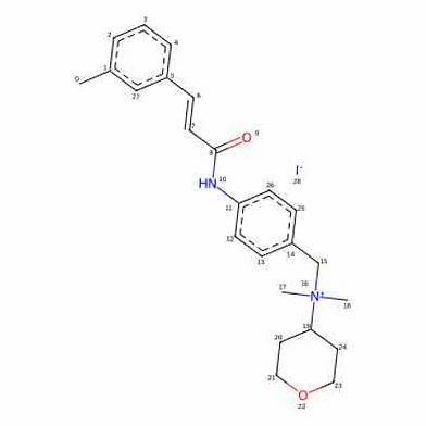 Cc1cccc(C=CC(=O)Nc2ccc(C[N+](C)(C)C3CCOCC3)cc2)c1.[I-]